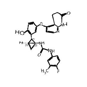 Cc1cc(NC(=O)N[C@@]23C[C@H]2[C@H]3c2cc(Oc3ccnc4c3CCC(=O)N4)ccc2O)ccc1F